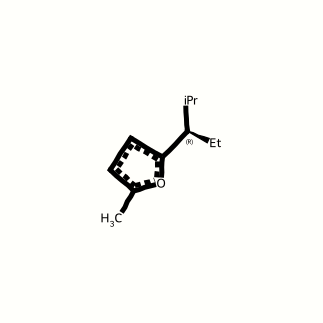 CC[C@@H](c1ccc(C)o1)C(C)C